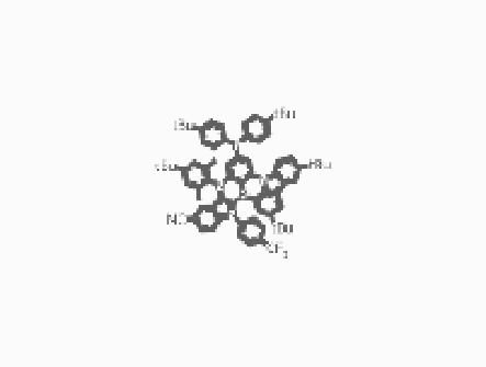 Cc1cc(C(C)(C)C)cc(C)c1N1c2cc(N(c3ccc(C(C)(C)C)cc3)c3ccc(C(C)(C)C)cc3)cc3c2B(c2cc(C(C)(C)C)cc4c5cc(C(C)(C)C)ccc5n-3c24)c2c1c1cc(C#N)ccc1n2-c1ccc(C(F)(F)F)cc1